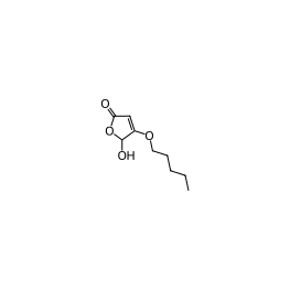 CCCCCOC1=CC(=O)OC1O